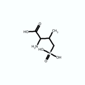 CC(CP(=O)(O)O)C(N)C(=O)O